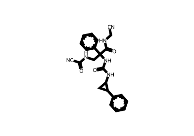 N#CCNC(=O)C(CNC(=O)C#N)(NC(=O)NC1CC1c1ccccc1)c1ccccc1